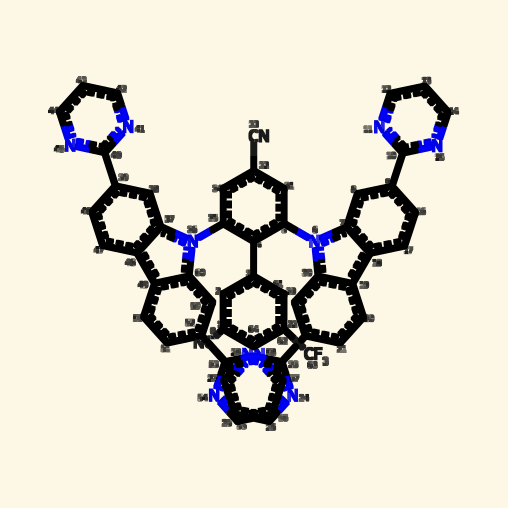 N#Cc1cc(-c2c(-n3c4cc(-c5ncccn5)ccc4c4ccc(-c5ncccn5)cc43)cc(C#N)cc2-n2c3cc(-c4ncccn4)ccc3c3ccc(-c4ncccn4)cc32)cc(C(F)(F)F)c1